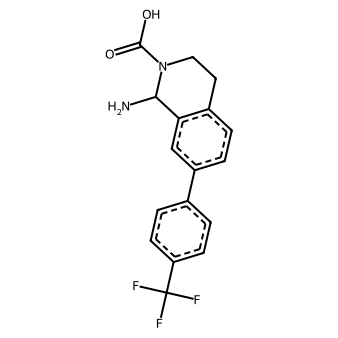 NC1c2cc(-c3ccc(C(F)(F)F)cc3)ccc2CCN1C(=O)O